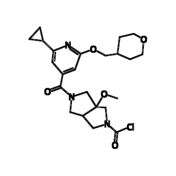 COC12CN(C(=O)Cl)CC1CN(C(=O)c1cc(OCC3CCOCC3)nc(C3CC3)c1)C2